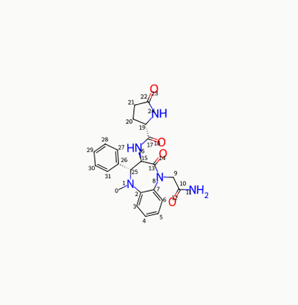 CN1c2ccccc2N(CC(N)=O)C(=O)[C@H](NC(=O)[C@@H]2CCC(=O)N2)[C@H]1c1ccccc1